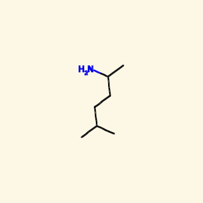 CC(C)CCC(C)N